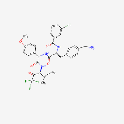 COc1ccc([C@H](NC(=O)[C@H](Cc2ccc(CN)cc2)NC(=O)c2cccc(Cl)c2)C(=O)N[C@H](C(=O)C(F)(F)F)C(C)C)cc1